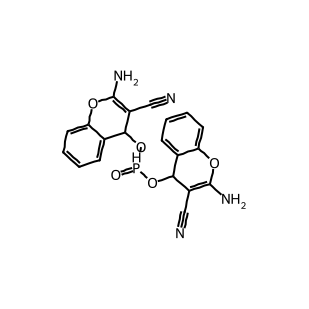 N#CC1=C(N)Oc2ccccc2C1O[PH](=O)OC1C(C#N)=C(N)Oc2ccccc21